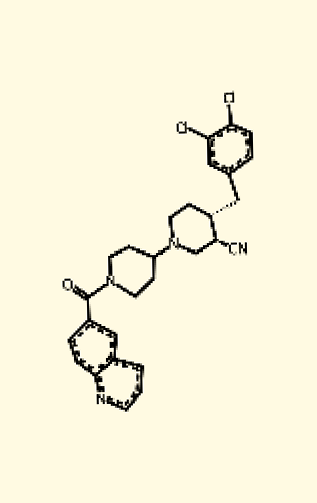 N#C[C@H]1CN(C2CCN(C(=O)c3ccc4ncccc4c3)CC2)CC[C@@H]1Cc1ccc(Cl)c(Cl)c1